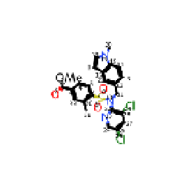 COC(=O)c1ccc(S(=O)(=O)N(Cc2ccc3c(ccn3C)c2)c2ncc(Cl)cc2Cl)c(C)c1